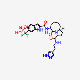 O=C(NC1CCCC[C@H]2CCC(C(=O)NCCc3cn[nH]c3)N2C1=O)c1cc2ccc(C(F)(F)P(=O)(O)O)cc2[nH]1